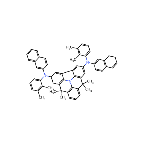 Cc1cccc(N(c2ccc3c(c2)CCC=C3)c2cc3c4c(c2)c2c5n4-c4c(cccc4C3(C)C)C(C)(C)C=5CC(N(c3ccc4ccccc4c3)c3cccc(C)c3C)C=2)c1C